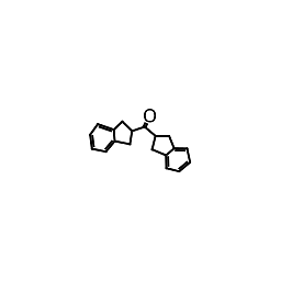 O=C(C1Cc2ccccc2C1)C1Cc2ccccc2C1